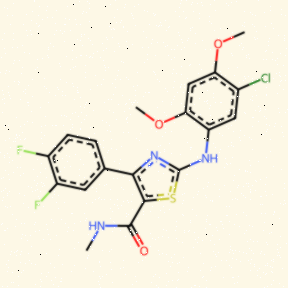 CNC(=O)c1sc(Nc2cc(Cl)c(OC)cc2OC)nc1-c1ccc(F)c(F)c1